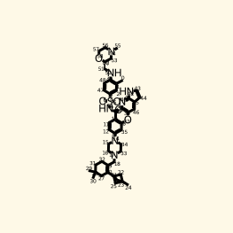 Cc1cc(S(=O)(=O)NC(=O)c2ccc(N3CCN(CC4=C(C56CC(C)(C5)C6)CC(C)(C)CC4)CC3)cc2Oc2cnc3[nH]ccc3c2)ccc1NC[C@@H]1CN(C)CCO1